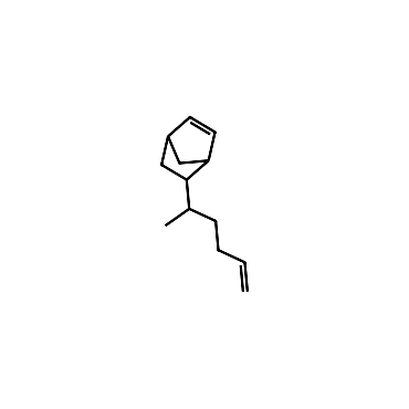 C=CCCC(C)C1CC2C=CC1C2